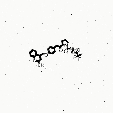 Cc1cc(COc2ccc(CC(=O)C3CCCN3C(=O)NOC(=O)C(F)(F)F)cc2)c2ccccc2n1